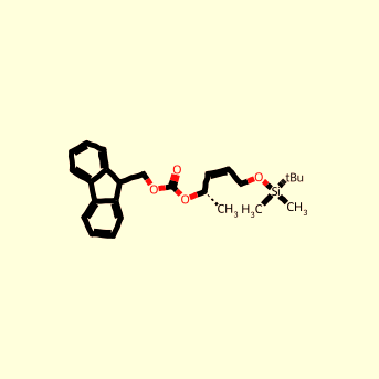 C[C@@H](/C=C\CO[Si](C)(C)C(C)(C)C)OC(=O)OCC1c2ccccc2-c2ccccc21